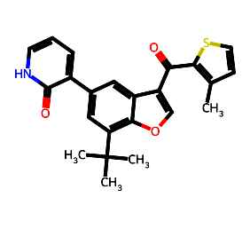 Cc1ccsc1C(=O)c1coc2c(C(C)(C)C)cc(-c3ccc[nH]c3=O)cc12